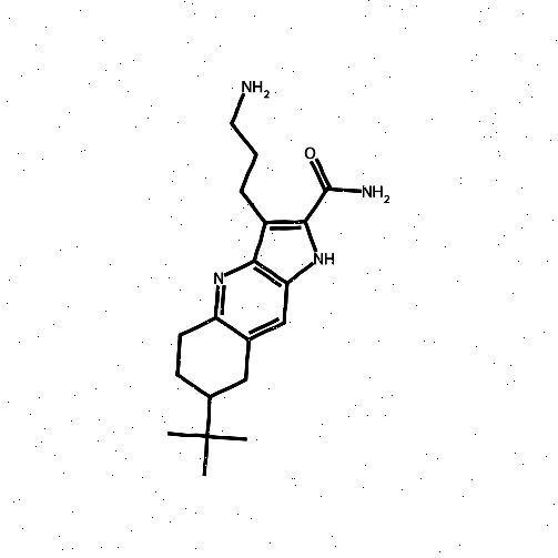 CC(C)(C)C1CCc2nc3c(CCCN)c(C(N)=O)[nH]c3cc2C1